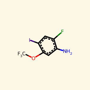 Nc1cc(OC(F)(F)F)c(I)cc1F